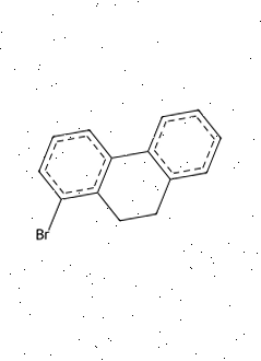 Brc1cccc2c1CCc1ccccc1-2